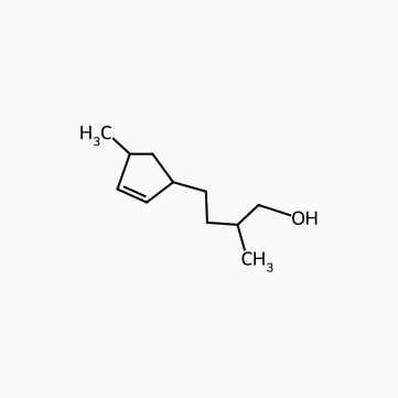 CC1C=CC(CCC(C)CO)C1